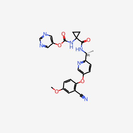 COc1ccc(Oc2ccc([C@@H](C)NC(=O)C3(NC(=O)Oc4cncnc4)CC3)nc2)c(C#N)c1